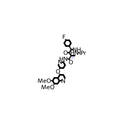 COc1cc2nccc(Oc3ccc(NC(=O)/C(=C/NC(C)C)C(=O)C(=N)c4ccc(F)cc4)nc3)c2cc1OC